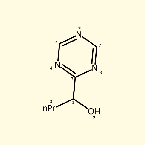 CCCC(O)c1ncncn1